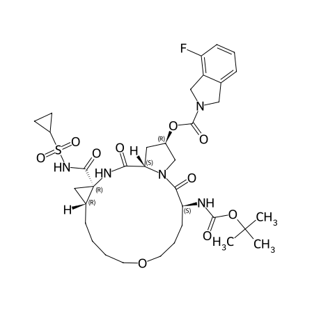 CC(C)(C)OC(=O)N[C@H]1CCCOCCCC[C@@H]2C[C@@]2(C(=O)NS(=O)(=O)C2CC2)NC(=O)[C@@H]2C[C@@H](OC(=O)N3Cc4cccc(F)c4C3)CN2C1=O